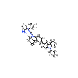 N=C1C=CC=C/C1=C(/N=C/n1c2ccccc2c2cc(-c3ccc4c(c3)c3ccccc3n4-c3ccccc3)ccc21)c1ccccc1